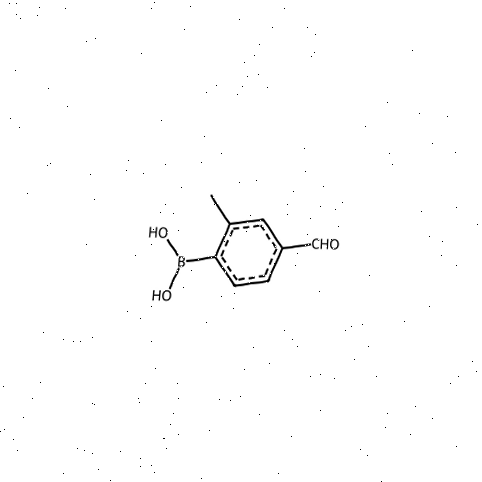 Cc1cc(C=O)ccc1B(O)O